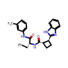 CC(C)C[C@@H](NC(=O)[C@H]1CC[C@@H]1c1nc2ccccc2[nH]1)C(=O)Nc1cccc(C(F)(F)F)c1